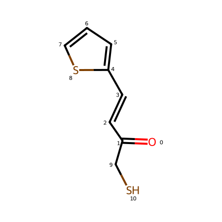 O=C(/C=C/c1cccs1)CS